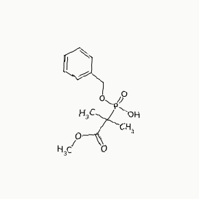 COC(=O)C(C)(C)P(=O)(O)OCc1ccccc1